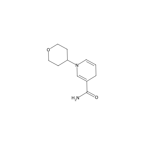 NC(=O)C1=CN(C2CCOCC2)C=CC1